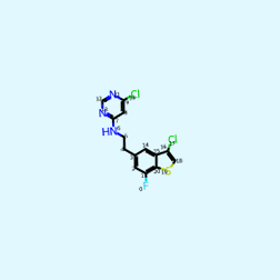 Fc1cc(CCNc2cc(Cl)ncn2)cc2c(Cl)csc12